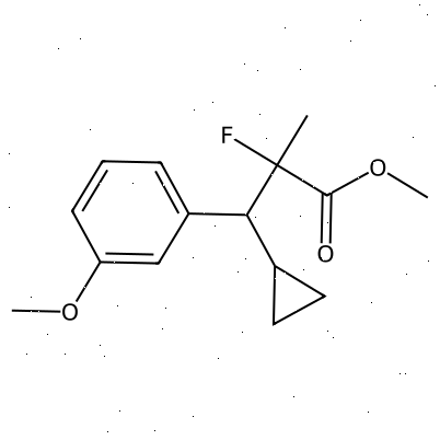 COC(=O)C(C)(F)C(c1cccc(OC)c1)C1CC1